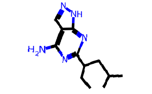 CCC(CC(C)C)c1nc(N)c2cn[nH]c2n1